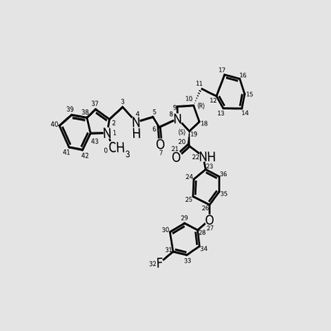 Cn1c(CNCC(=O)N2C[C@H](Cc3ccccc3)C[C@H]2C(=O)Nc2ccc(Oc3ccc(F)cc3)cc2)cc2ccccc21